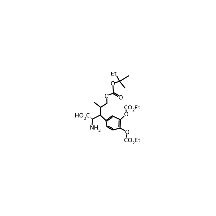 CCOC(=O)Oc1ccc(C(C(C)COC(=O)OC(C)(C)CC)[C@H](N)C(=O)O)cc1OC(=O)OCC